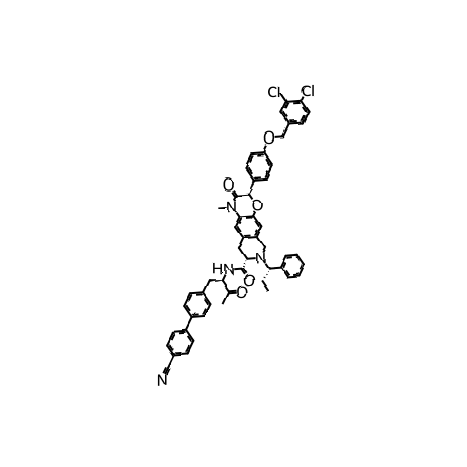 CC[C@@H](c1ccccc1)N1Cc2cc3c(cc2C[C@H]1C(=O)N[C@H](Cc1ccc(-c2ccc(C#N)cc2)cc1)C(C)=O)N(C)C(=O)[C@@H](c1ccc(OCc2ccc(Cl)c(Cl)c2)cc1)O3